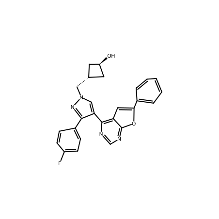 O[C@H]1C[C@H](Cn2cc(-c3ncnc4oc(-c5ccccc5)cc34)c(-c3ccc(F)cc3)n2)C1